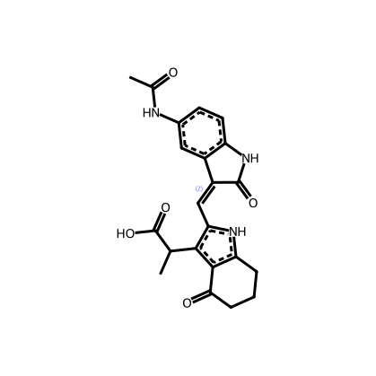 CC(=O)Nc1ccc2c(c1)/C(=C/c1[nH]c3c(c1C(C)C(=O)O)C(=O)CCC3)C(=O)N2